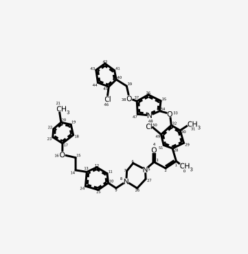 CC(=CC(=O)N1CCN(Cc2ccc(CCOc3ccc(C)cc3)cc2)CC1)c1cc(C)c(Oc2ccc(OCc3ccccc3Cl)cn2)c(Cl)c1